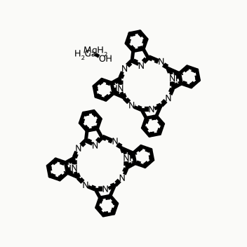 [MgH2].[OH][GaH2].c1ccc2c(c1)-c1nc-2nc2[nH]c(nc3nc(nc4[nH]c(n1)c1ccccc41)-c1ccccc1-3)c1ccccc21.c1ccc2c(c1)-c1nc-2nc2[nH]c(nc3nc(nc4[nH]c(n1)c1ccccc41)-c1ccccc1-3)c1ccccc21